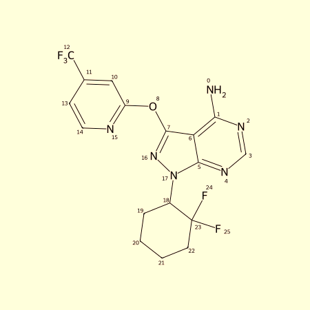 Nc1ncnc2c1c(Oc1cc(C(F)(F)F)ccn1)nn2C1CCCCC1(F)F